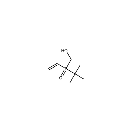 C=CP(=O)(CO)C(C)(C)C